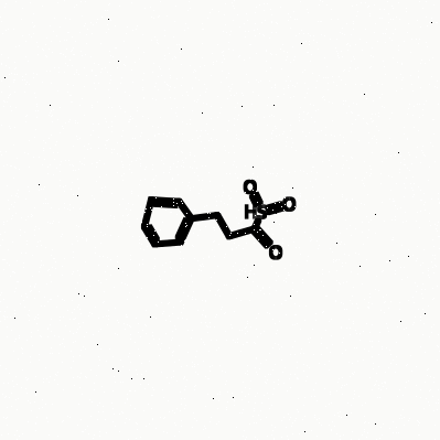 O=C(CCc1ccccc1)[SH](=O)=O